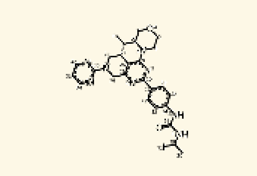 CCC1COCCN1c1nc(-c2ccc(NC(=O)NC(C)I)cc2)nc2c1CCN(c1ncccn1)C2